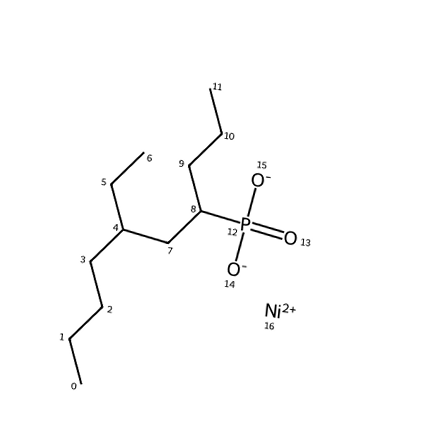 CCCCC(CC)CC(CCC)P(=O)([O-])[O-].[Ni+2]